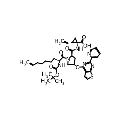 C=CCCCCC[C@H](NC(=O)OC(C)(C)C)C(=O)N1C[C@H](Oc2nc(-c3ccccn3)nc3sccc23)C[C@@H]1C(=O)N[C@]1(C(=O)O)C[C@H]1C=C